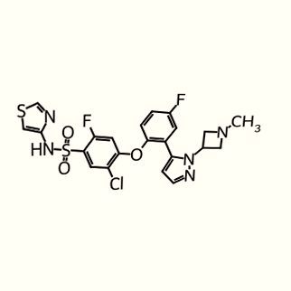 CN1CC(n2nccc2-c2cc(F)ccc2Oc2cc(F)c(S(=O)(=O)Nc3cscn3)cc2Cl)C1